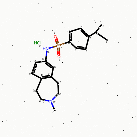 CC(C)c1ccc(S(=O)(=O)Nc2ccc3c(c2)CCN(C)CC3)cc1.Cl